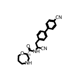 N#Cc1ccc(-c2ccc(CC(C#N)NC(=O)[C@@H]3CNCCCO3)cc2)cc1